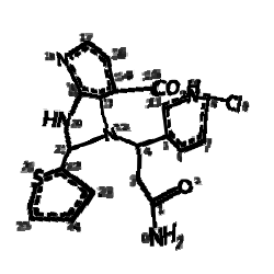 NC(=O)CC(c1ccc(Cl)nc1)N1c2c(C(=O)O)ccnc2NC1c1cccs1